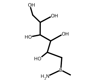 CB(N)CC(O)C(O)C(O)C(O)CO